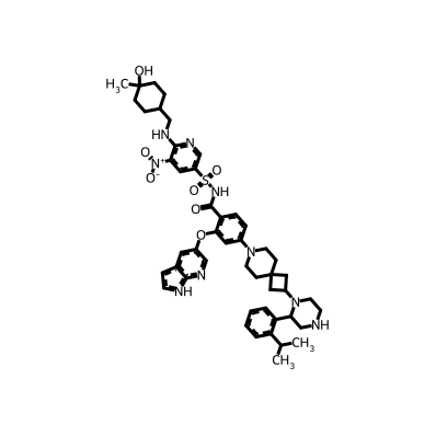 CC(C)c1ccccc1C1CNCCN1C1CC2(CCN(c3ccc(C(=O)NS(=O)(=O)c4cnc(NCC5CCC(C)(O)CC5)c([N+](=O)[O-])c4)c(Oc4cnc5[nH]ccc5c4)c3)CC2)C1